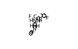 Cc1ccc(F)cc1-c1cc(C(F)(F)F)c(N[C@H]2C[C@@H]3CN(C[C@H]4CC5CCC4O5)C[C@@H]3C2)nn1